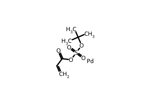 C=CC(=O)OS(=O)(=O)OC(C)(C)C.[Pd]